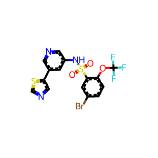 O=S(=O)(Nc1cncc(-c2cncs2)c1)c1cc(Br)ccc1OC(F)(F)F